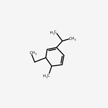 CC[C]1C=C(C(C)C)C=CC1C